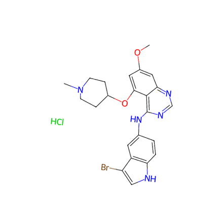 COc1cc(OC2CCN(C)CC2)c2c(Nc3ccc4[nH]cc(Br)c4c3)ncnc2c1.Cl